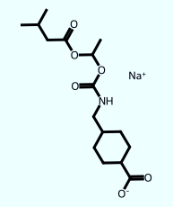 CC(C)CC(=O)OC(C)OC(=O)NCC1CCC(C(=O)[O-])CC1.[Na+]